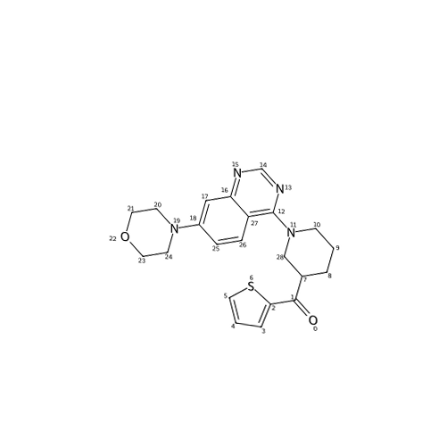 O=C(c1cccs1)C1CCCN(c2ncnc3cc(N4CCOCC4)ccc23)C1